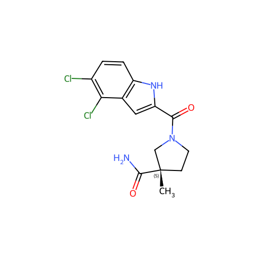 C[C@]1(C(N)=O)CCN(C(=O)c2cc3c(Cl)c(Cl)ccc3[nH]2)C1